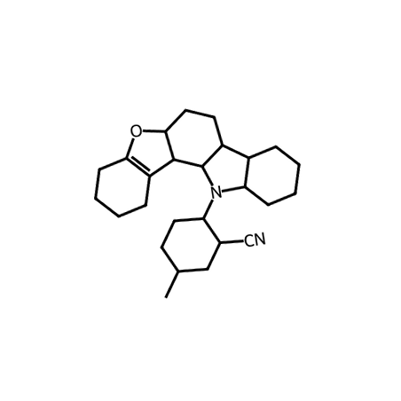 CC1CCC(N2C3CCCCC3C3CCC4OC5=C(CCCC5)C4C32)C(C#N)C1